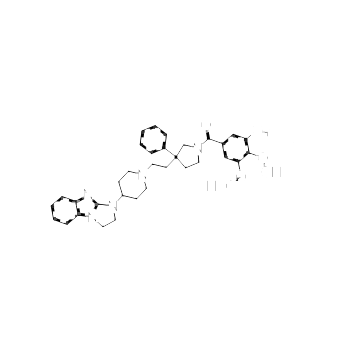 COc1cc(C(=O)N2CCC(CCN3CCC(N4CCn5c4nc4ccccc45)CC3)(c3ccccc3)C2)cc(OC)c1OC